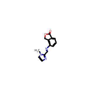 Cn1ccnc1C=Nc1cccc2c1COC2=O